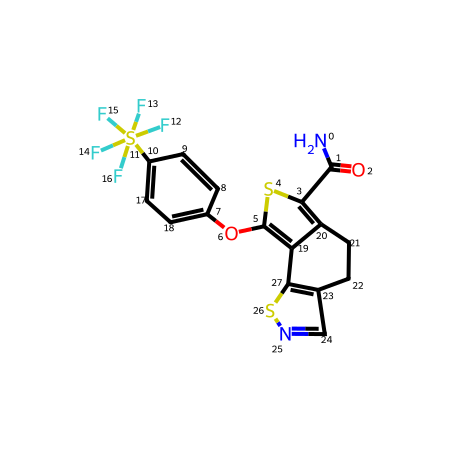 NC(=O)c1sc(Oc2ccc(S(F)(F)(F)(F)F)cc2)c2c1CCc1cnsc1-2